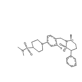 C[C@H]1CCC(c2ccccc2)S(=O)(=O)N1Cc1ccc(N2CCC(S(=O)(=O)N(C)C)CC2)cc1F